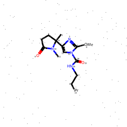 COc1nc(C2(C)CCC(=O)N2C)cn1C(=O)NCCC(C)C